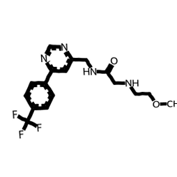 COCCNCC(=O)NCc1cc(-c2ccc(C(F)(F)F)cc2)ncn1